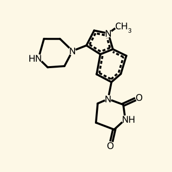 Cn1cc(N2CCNCC2)c2cc(N3CCC(=O)NC3=O)ccc21